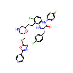 O=C(Nc1ccc(F)cc1)[C@H](Cc1ccc(F)cc1)Nc1cccc(F)c1CC[C@@H]1CNC[C@@H](CSc2nnc(-c3ccncc3)o2)O1